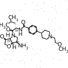 COCCN1CCC(c2ccc(C(=O)N[C@@H](CC(C)C)C(=O)N3C[C@@H](N)[C@H]4OCC(=O)[C@H]43)cc2)CC1